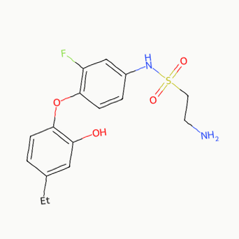 CCc1ccc(Oc2ccc(NS(=O)(=O)CCN)cc2F)c(O)c1